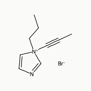 CC#C[N+]1(CCC)C=CN=C1.[Br-]